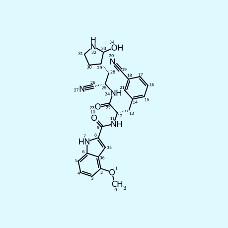 COc1cccc2[nH]c(C(=O)N[C@@H](Cc3cccc(C#N)c3)C(=O)N[C@H](C#N)C[C@@H]3CCNC3O)cc12